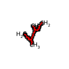 C=CC(=O)OCCCCOC(=O)C1CCC(COOc2ccc(COOC3(C#Cc4ccc(C#Cc5ccc(C#Cc6ccc(C#CC7(OC(=O)c8ccc(OC(=O)C9CCC(OCCCCOC(=O)C=C)CC9)cc8)CCC(C8CCC(CCCCC)CC8)CC7)cc6)cc5)cc4)CCC(C4CCC(CCCCC)CC4)CC3)cc2)CC1